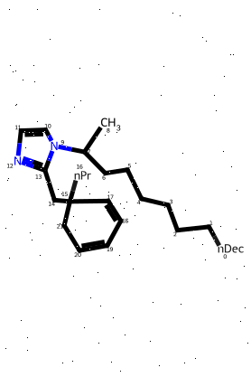 CCCCCCCCCCCCCCCCC(C)n1ccnc1CC1(CCC)C=CC=CC1